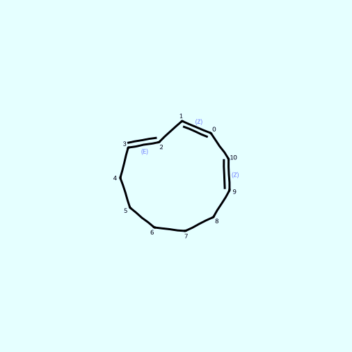 C1=C\C=C\CCCCC\C=C/1